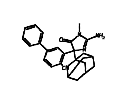 CN1C(=O)C(c2cc(-c3ccccc3)ccc2C#N)(C23CC4CC(CC(C4)C2)C3)N=C1N